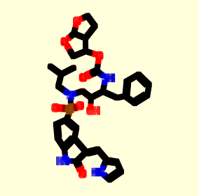 CC(C)CN(CC(O)C(Cc1ccccc1)NC(=O)OC1COC2OCCC12)S(=O)(=O)c1ccc2c(c1)C(=Cc1ccc[nH]1)C(=O)N2